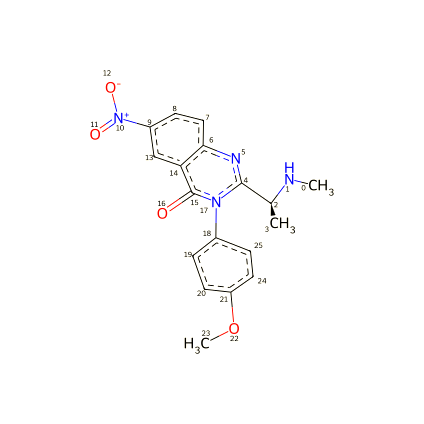 CN[C@@H](C)c1nc2ccc([N+](=O)[O-])cc2c(=O)n1-c1ccc(OC)cc1